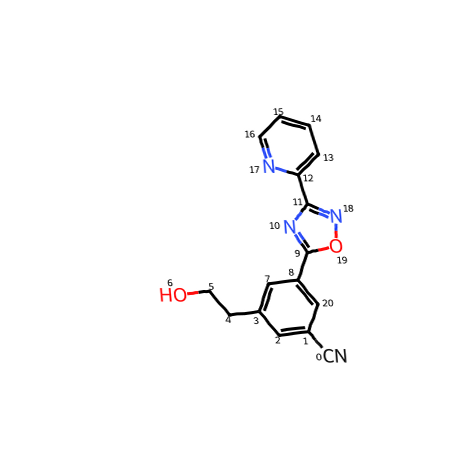 N#Cc1cc(CCO)cc(-c2nc(-c3ccccn3)no2)c1